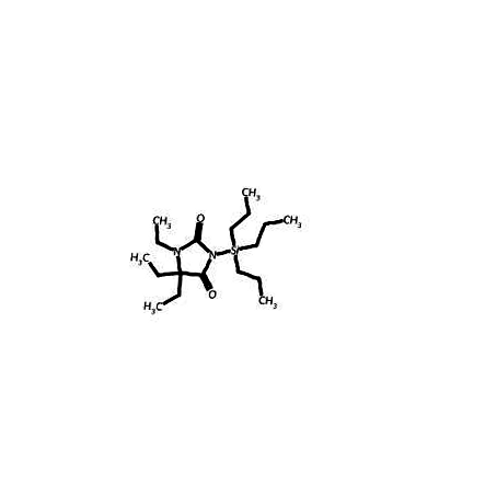 CCC[Si](CCC)(CCC)N1C(=O)N(CC)C(CC)(CC)C1=O